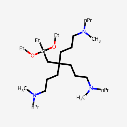 CCCN(C)CCCC(CCCN(C)CCC)(CCCN(C)CCC)C[Si](CC)(OCC)OCC